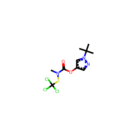 CN(SC(Cl)(Cl)Cl)C(=O)Oc1cnn(C(C)(C)C)c1